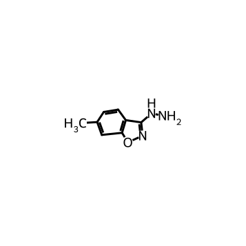 Cc1ccc2c(NN)noc2c1